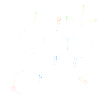 O=C(c1ccccc1F)N1c2nc(N3CCOCC3)cc(=O)n2CC[C@H]1C(F)(F)F